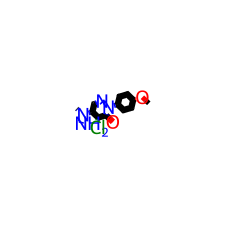 COc1ccc(-n2ncc(N(C)N)c(Cl)c2=O)cc1